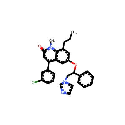 CCCc1cc(OC(Cn2ccnc2)c2ccccc2)cc2c(-c3cccc(Cl)c3)cc(=O)n(C)c12